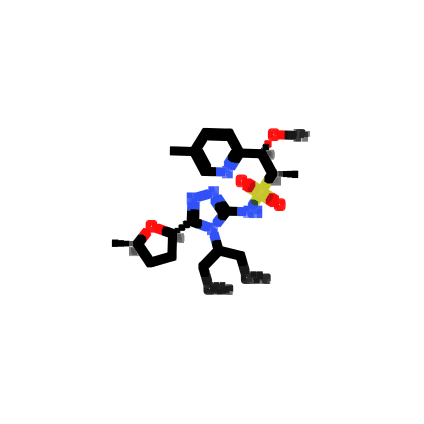 COCC(COC)n1c(NS(=O)(=O)[C@@H](C)[C@@H](OC(C)C)c2ccc(C)cn2)nnc1[C@@H]1CC[C@H](C)O1